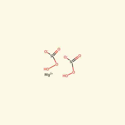 O=[Si]([O-])OO.O=[Si]([O-])OO.[Mg+2]